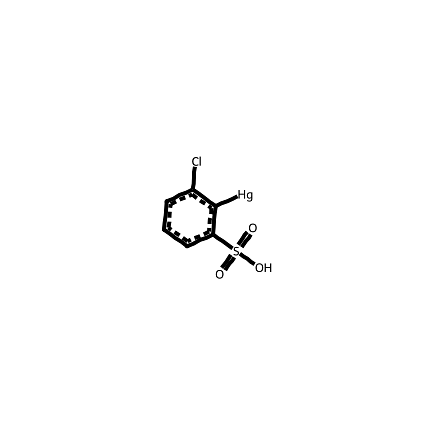 O=S(=O)(O)c1cccc(Cl)[c]1[Hg]